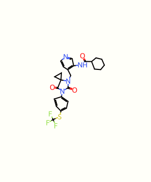 O=C(Nc1cnccc1CN1C(=O)N(c2ccc(SC(F)(F)F)cc2)C(=O)C12CC2)C1CCCCC1